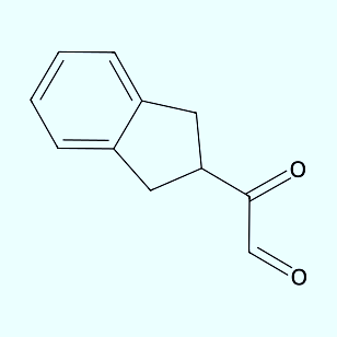 O=CC(=O)C1Cc2ccccc2C1